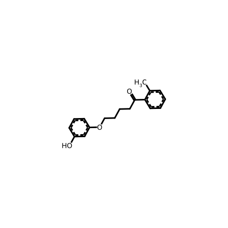 Cc1ccccc1C(=O)CCCCOc1cccc(O)c1